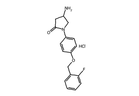 Cl.NC1CC(=O)N(c2ccc(OCc3ccccc3F)cc2)C1